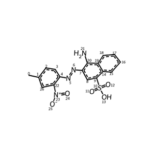 Cc1ccc(N=Nc2cc(S(=O)(=O)O)c3ccccc3c2N)c([N+](=O)[O-])c1